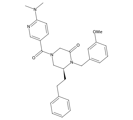 COc1cccc(CN2C(=O)CN(C(=O)c3ccc(N(C)C)nc3)C[C@@H]2CCc2ccccc2)c1